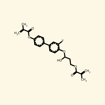 C=C(C)C(=O)OCCC(O)Oc1ccc(-c2ccc(OC(=O)C(=C)C)cc2)cc1F